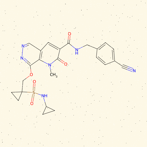 Cn1c(=O)c(C(=O)NCc2ccc(C#N)cc2)cc2cnnc(OCC3(S(=O)(=O)NC4CC4)CC3)c21